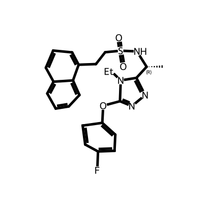 CCn1c(Oc2ccc(F)cc2)nnc1[C@@H](C)NS(=O)(=O)CCc1cccc2ccccc12